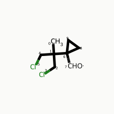 CC(CCl)(CCl)C1([C]=O)CC1